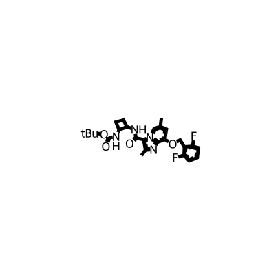 Cc1cc(OCc2c(F)cccc2F)c2nc(C)c(C(=O)NC3CCC3NC(=O)OC(C)(C)C)n2c1